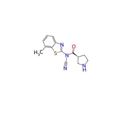 Cc1cccc2nc(N(C#N)C(=O)[C@H]3CCNC3)sc12